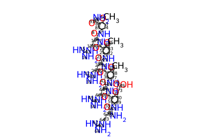 COc1ccc(NC(=O)[C@H](CCCNC(=N)N)NC(=O)c2cc(NC(=O)[C@H](CCCNC(=N)N)NC(=O)c3cc(NC(=O)[C@H](CCCNC(=N)N)NC(=O)c4cc(NC(=O)[C@@H](N)CCCNC(=N)N)ccc4OCC(=O)O)ccc3OC)ccc2OC)cc1C(N)=O